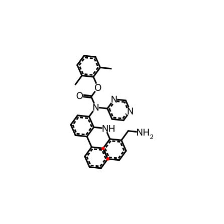 Cc1cccc(C)c1OC(=O)N(c1ccncn1)c1cccc(-c2ccccc2)c1Nc1ccccc1CN